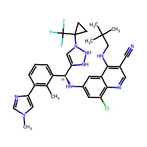 Cc1c(-c2cn(C)cn2)cccc1[C@H](Nc1cc(Cl)c2ncc(C#N)c(NCC(C)(C)C)c2c1)C1=CN(C2(C(F)(F)F)CC2)NN1